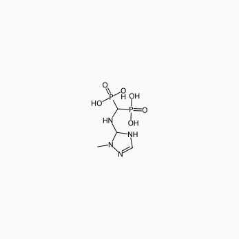 CN1N=CNC1NC(P(=O)(O)O)P(=O)(O)O